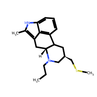 CCCN1C[C@H](CSC)CC2c3cccc4[nH]c(C)c(c34)C[C@H]21